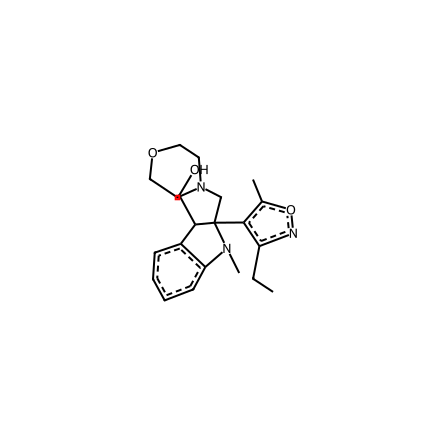 CCc1noc(C)c1C1(CN2CCOCC2)C(CO)c2ccccc2N1C